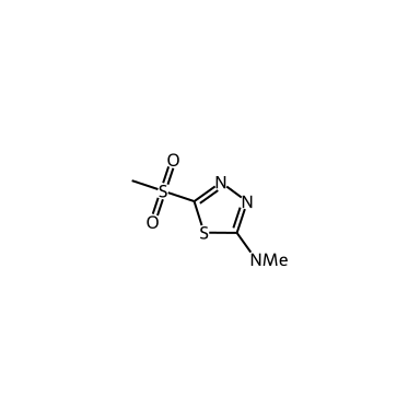 CNc1nnc(S(C)(=O)=O)s1